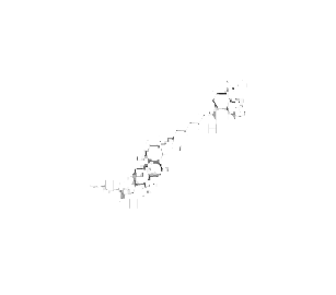 CC(C)CCC[C@@H](C)[C@H]1CC[C@H]2[C@@H]3CC=C4C[C@@H](OC(=O)CCCCCNc5ccc([N+](=O)[O-])c6nonc56)CC[C@]4(C)[C@H]3CC[C@]12C